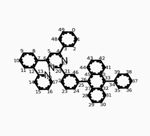 c1ccc(-c2cc(-c3ccccc3-c3ccccn3)nc(-c3cccc(-c4c5ccccc5c(-c5ccccc5)c5ccccc45)c3)n2)cc1